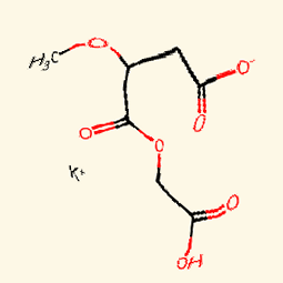 COC(CC(=O)[O-])C(=O)OCC(=O)O.[K+]